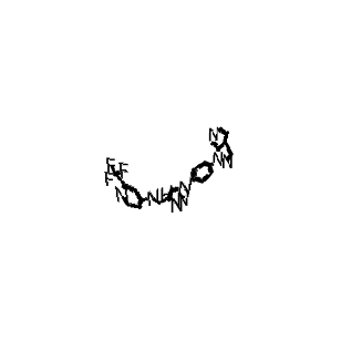 FC(F)(F)c1cc(NCc2cn(-c3ccc(-n4ncc5ccncc54)cc3)nn2)ccn1